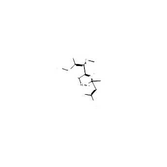 CCCN/C(C)=C(NCC)\C(CNC)=N\C(C)(C)C=C(CC)CC